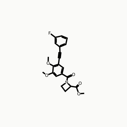 COC(=O)C1CCN1C(=O)c1cc(C#Cc2cccc(F)c2)c(OC)c(OC)c1